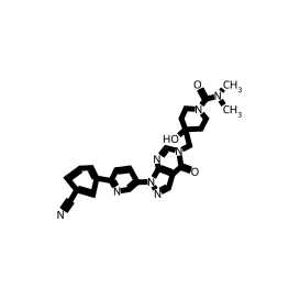 CN(C)C(=O)N1CCC(O)(Cn2cnc3c(cnn3-c3ccc(-c4cccc(C#N)c4)nc3)c2=O)CC1